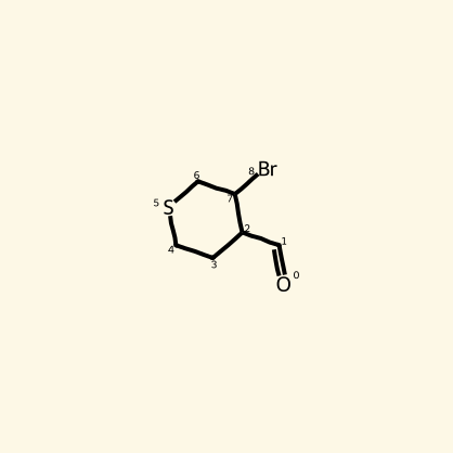 O=CC1CCSCC1Br